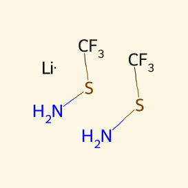 NSC(F)(F)F.NSC(F)(F)F.[Li]